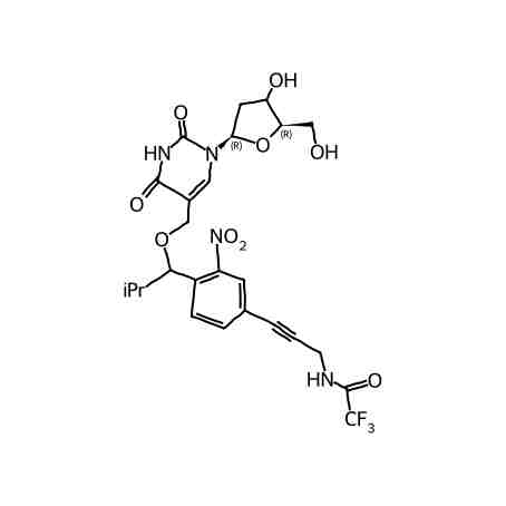 CC(C)C(OCc1cn([C@H]2CC(O)[C@@H](CO)O2)c(=O)[nH]c1=O)c1ccc(C#CCNC(=O)C(F)(F)F)cc1[N+](=O)[O-]